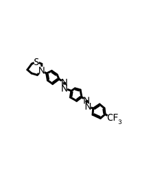 FC(F)(F)c1ccc(N=Nc2ccc(N=Nc3ccc(N4CCCCSC4)cc3)cc2)cc1